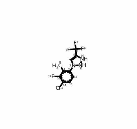 Cc1c(N2C=C(C(F)(F)F)NN2)ccc(Cl)c1F